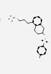 CS(=O)(=O)NCCCc1cccc2c1CCC(NS(=O)(=O)c1ccc(Cl)cc1)C2